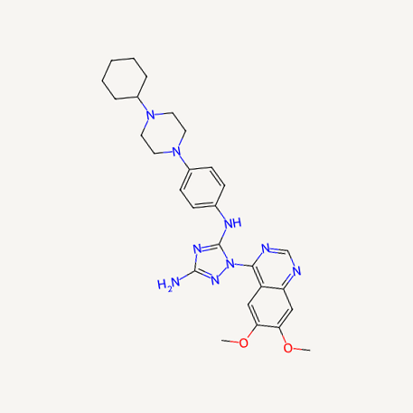 COc1cc2ncnc(-n3nc(N)nc3Nc3ccc(N4CCN(C5CCCCC5)CC4)cc3)c2cc1OC